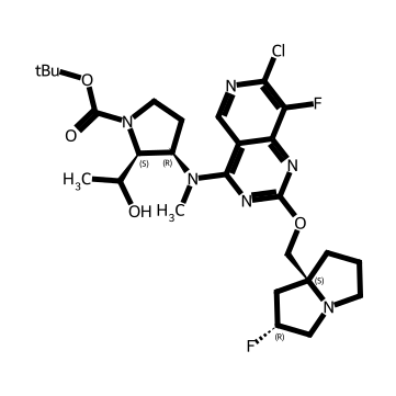 CC(O)[C@@H]1[C@H](N(C)c2nc(OC[C@@]34CCCN3C[C@H](F)C4)nc3c(F)c(Cl)ncc23)CCN1C(=O)OC(C)(C)C